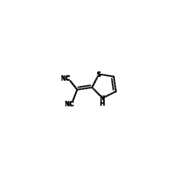 N#CC(C#N)=C1NC=CS1